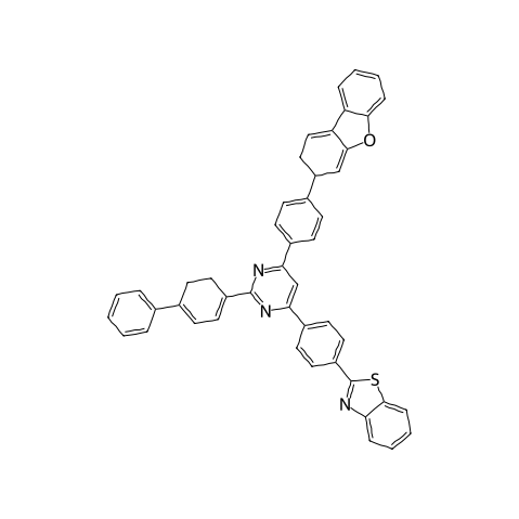 C1=C(c2ccccc2)CCC(c2nc(-c3ccc(-c4nc5ccccc5s4)cc3)cc(-c3ccc(C4C=c5oc6ccccc6c5=CC4)cc3)n2)=C1